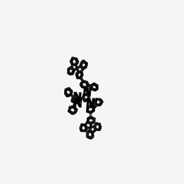 c1ccc(-c2cc(-c3ccccc3)nc(-c3cc(-n4c5ccccc5c5cc(-c6ccc7c(c6)-c6ccccc6C76c7ccccc7-c7ccccc76)ccc54)cc(-n4c5ccccc5c5cc(-c6ccc7c(c6)-c6ccccc6C76c7ccccc7-c7ccccc76)ccc54)c3)n2)cc1